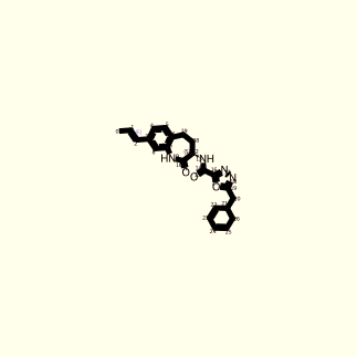 C/C=C/c1ccc2c(c1)NC(=O)[C@@H](NC(=O)c1nnc(CC3C=CC=CC3)o1)CC2